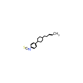 CC=CCCC1CCC(c2ccc(N=C=S)cc2)CC1